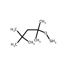 CC(C)(C)CC(C)(C)O[SiH3]